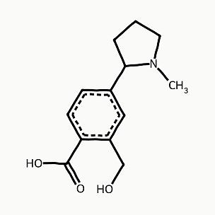 CN1CCCC1c1ccc(C(=O)O)c(CO)c1